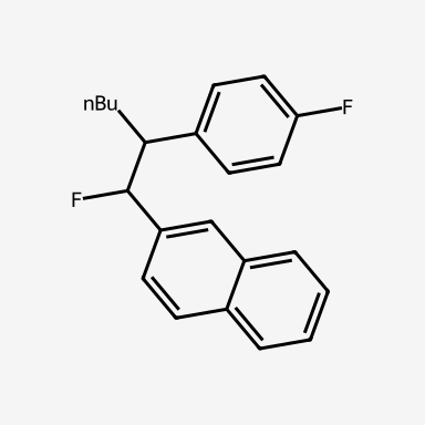 CCCCC(c1ccc(F)cc1)C(F)c1ccc2ccccc2c1